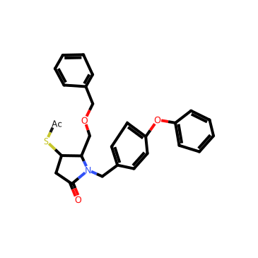 CC(=O)SC1CC(=O)N(Cc2ccc(Oc3ccccc3)cc2)C1COCc1ccccc1